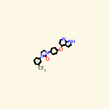 O=C1N(c2ccc(Oc3ccnc4[nH]ccc34)cc2)CCN1c1cccc(C(F)(F)F)c1